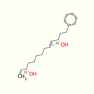 C=C[C@@H](O)CCCCC/C=C/[C@@H](O)CCc1ccccc1